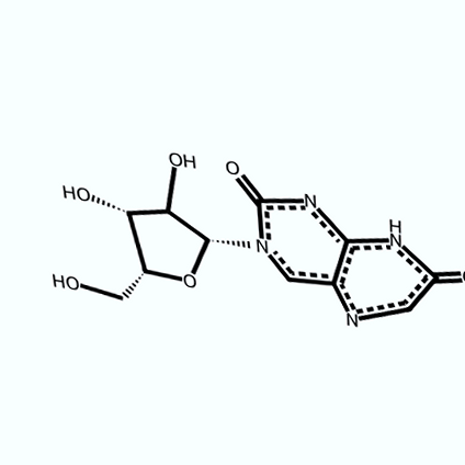 O=c1cnc2cn([C@@H]3O[C@H](CO)[C@H](O)C3O)c(=O)nc2[nH]1